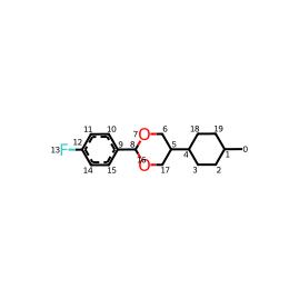 CC1CCC(C2COC(c3ccc(F)cc3)OC2)CC1